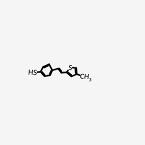 Cc1csc(C=Cc2ccc(S)cc2)c1